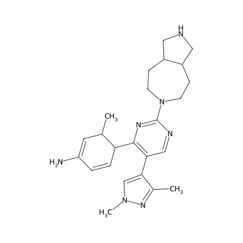 Cc1nn(C)cc1-c1cnc(N2CCC3CNCC3CC2)nc1C1C=CC(N)=CC1C